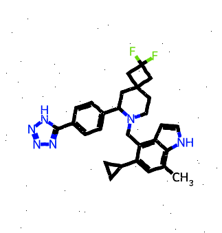 Cc1cc(C2CC2)c(CN2CCC3(CC2c2ccc(-c4nnn[nH]4)cc2)CC(F)(F)C3)c2cc[nH]c12